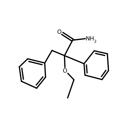 CCOC(Cc1ccccc1)(C(N)=O)c1ccccc1